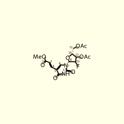 COC(=O)/C=C/c1cn([C@@H]2O[C@H](COC(C)=O)C(OC(C)=O)C2F)c(=O)[nH]c1=O